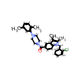 Cc1ccc(C)c(N2CCN(C(=O)c3ccc4c(c3)c(C)c(C)n4Cc3ccccc3Cl)CC2)c1